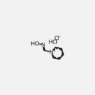 Cl.ON=C[n+]1ccccc1.[Cl-]